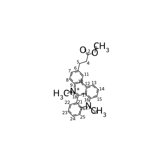 COC(=O)CCc1ccc2c(c1)c1cccc3c1c([n+]2C)-c1ccccc1N3C